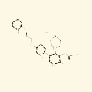 Cc1ncc(-c2ccc(OCCOc3ccccc3F)cn2)c(N2CCC(C)(C)CC2)c1CC(=O)O